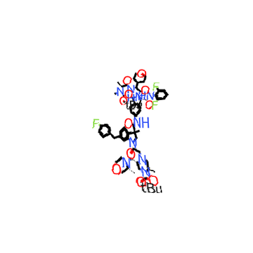 C[C@@H]1COCCN1C[C@H]1CN(C(=O)OC(C)(C)C)[C@H](C)CN1CC(=O)N1CC(C)(C(=O)Nc2ccc3c(c2)[C@@H](C(=O)Nc2c(F)cccc2F)N(C(=O)[C@@H](NC(=O)[C@H](C)N(C)C(=O)OC(C)(C)C)C2CCOCC2)C3)c2ccc(Cc3ccc(F)cc3)cc21